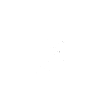 CN[C@H](C(=O)N[C@@H](CC(=O)OC(C)(C)C)C(=O)N1CCCCC1)C(C)C